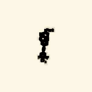 CCCCC[C@@H]1CC[C@@H]2c3ccc(C#Cc4cc(F)c(C(F)(F)F)c(F)c4)cc3CC[C@@H]2C1